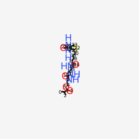 C=C(C)C(=O)OCCNC(=O)NCCNC(=O)CCCCC1SCC2NC(=O)NC21